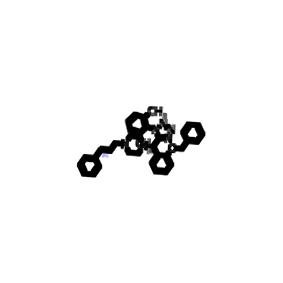 Cc1cccc(C)c1-n1nnnc1[C@@H](c1ccccc1OCc1ccccc1)N1CCN(C/C=C/c2ccccc2)CC1